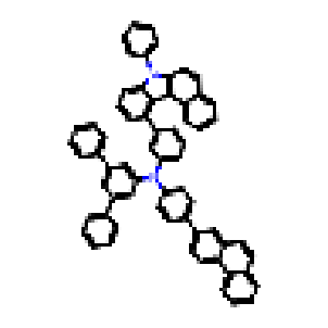 c1ccc(-c2cc(-c3ccccc3)cc(N(c3ccc(-c4ccc5c(ccc6ccccc65)c4)cc3)c3cccc(-c4cccc5c4c4c6ccccc6ccc4n5-c4ccccc4)c3)c2)cc1